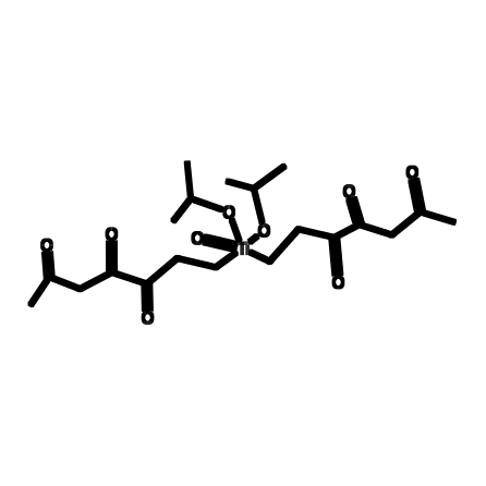 CC(=O)CC(=O)C(=O)C[CH2][Ti](=[O])([CH2]CC(=O)C(=O)CC(C)=O)([O]C(C)C)[O]C(C)C